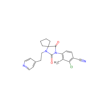 Cc1c(N2C(=O)N(CCc3ccncc3)C3(CCCC3)C2=O)ccc(C#N)c1Cl